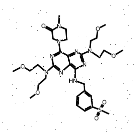 COCCN(CCOC)c1nc(N2CCN(C)C(=O)C2)c2nc(N(CCOC)CCOC)nc(NCc3cccc(S(C)(=O)=O)c3)c2n1